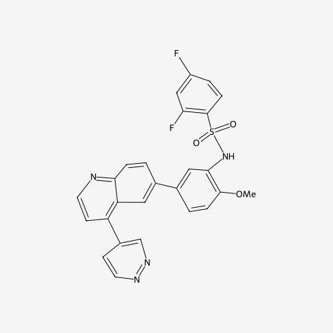 COc1ccc(-c2ccc3nccc(-c4ccnnc4)c3c2)cc1NS(=O)(=O)c1ccc(F)cc1F